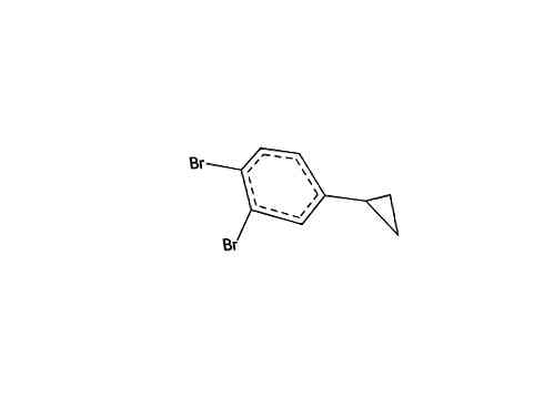 Brc1ccc(C2CC2)cc1Br